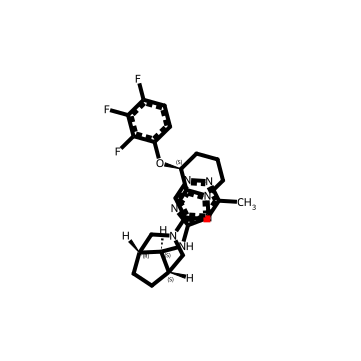 Cc1cc(N2C[C@H]3CC[C@@H](C2)[C@@H]3Nc2nc3n(n2)CCC[C@@H]3Oc2ccc(F)c(F)c2F)cnn1